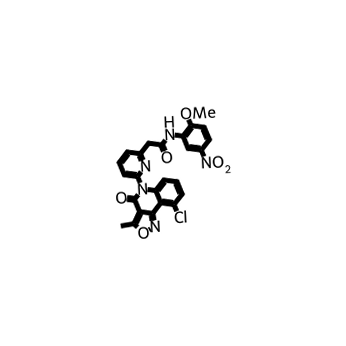 COc1ccc([N+](=O)[O-])cc1NC(=O)Cc1cccc(-n2c(=O)c3c(C)onc3c3c(Cl)cccc32)n1